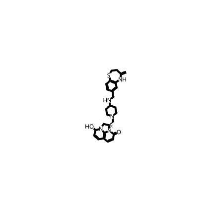 C=C1CCSc2ccc(CNC3CCN(C[C@@H]4CN5c6c(ccc(=O)n64)C=CC5O)CC3)cc2N1